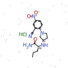 CCC[C@H](N[C@H]1CCN(c2ccc([N+](=O)[O-])cc2C#N)C1)C(N)=O.Cl